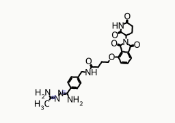 C/C(N)=N/N=C(\N)c1ccc(CNC(=O)CCCOc2cccc3c2C(=O)N(C2CCC(=O)NC2=O)C3=O)cc1